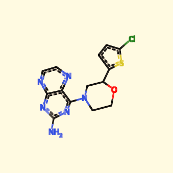 Nc1nc(N2CCOC(c3ccc(Cl)s3)C2)c2nccnc2n1